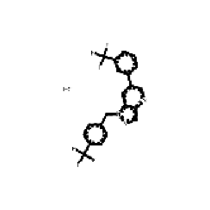 Cl.FC(F)(F)c1ccc(Cn2ncc3ncc(-c4cccc(C(F)(F)F)c4)cc32)cc1